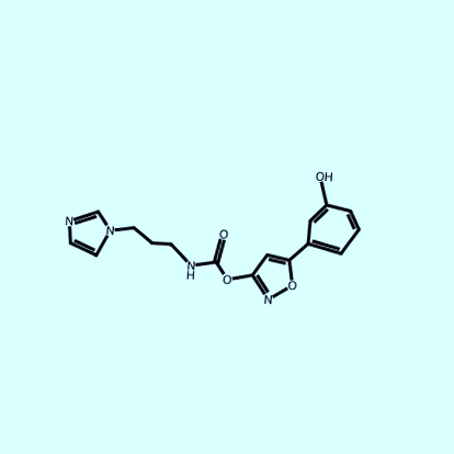 O=C(NCCCn1ccnc1)Oc1cc(-c2cccc(O)c2)on1